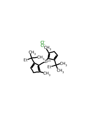 CCC(C)(C)C1=CCC(C)=[C]1[Zr+2][C]1=C(C)CC=C1C(C)(C)CC.[Cl-].[Cl-]